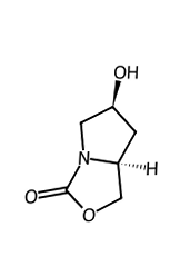 O=C1OC[C@@H]2C[C@H](O)CN12